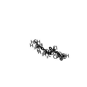 CCN(CCN(CC)C(=O)Oc1cc2c(c3ccccc13)C(CCl)CN2C(=O)c1ccc(C(=O)N2CC(CCl)c3c2cc(OP(=O)(O)O)c2ccccc32)s1)C(=O)OCc1ccc(NC(=O)C(CCCNC)NC)cc1